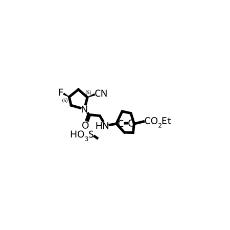 CCOC(=O)C12CCC(NCC(=O)N3C[C@@H](F)C[C@H]3C#N)(CC1)CC2.CS(=O)(=O)O